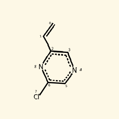 C=Cc1cncc(Cl)n1